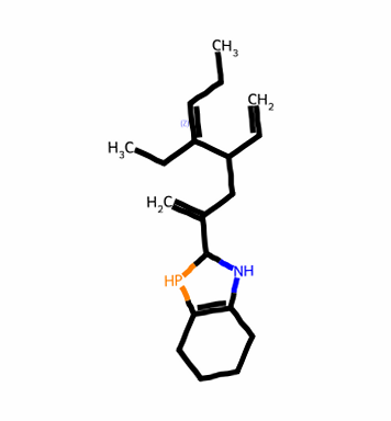 C=CC(CC(=C)C1NC2=C(CCCC2)P1)/C(=C\CC)CC